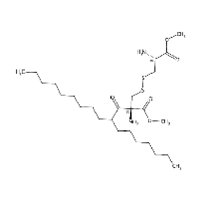 CCCCCCCCCC(CCCCCCC)C(=O)[C@](N)(CSSC[C@H](N)C(=O)OC)C(=O)OC